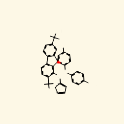 Cc1ccc([Si](c2ccc(C)cc2)=[Zr+2]([C]2=CC=CC2)[c]2c(C(C)(C)C)ccc3c2Cc2cc(C(C)(C)C)ccc2-3)cc1.[Cl-].[Cl-]